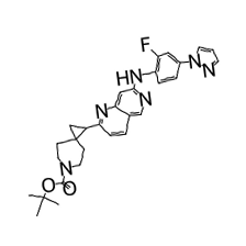 CC(C)(C)OC(=O)N1CCC2(CC1)CC2c1ccc2cnc(Nc3ccc(-n4cccn4)cc3F)cc2n1